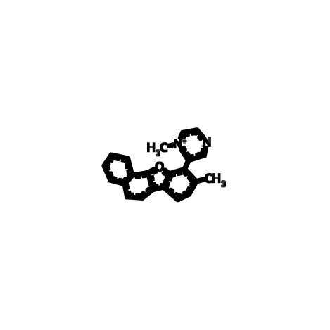 Cc1ccc2c(oc3c4ccccc4ccc23)c1-c1cncc[n+]1C